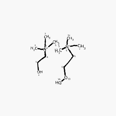 C[N+](C)(C)CCO.C[N+](C)(C)CCOO